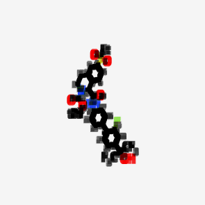 CCS(=O)(=O)c1ccc2c(c1)CCN(C(=O)OC(C)(C)C)C2C(=O)Nc1ccc(-c2ccc(C(O)(C(F)(F)F)C(F)(F)F)cc2F)cc1